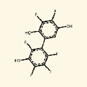 Oc1cc(-c2c(F)c(O)c(F)c(F)c2F)c(O)c(F)c1F